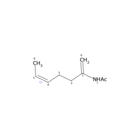 C=C(CC/C=C\C)NC(C)=O